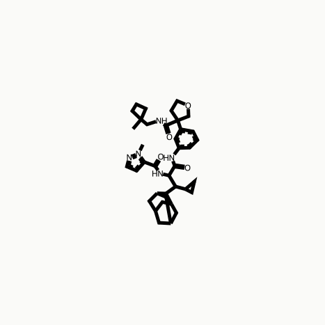 Cn1nccc1C(=O)NC(C(=O)Nc1cccc(C2(C(=O)NCC3(C)CCC3)CCOC2)c1)C(C1CC1)C1C2CC3CC(C2)CC1C3